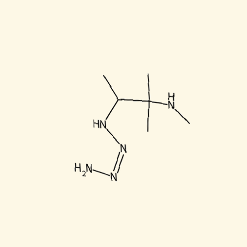 CNC(C)(C)C(C)N/N=N\N